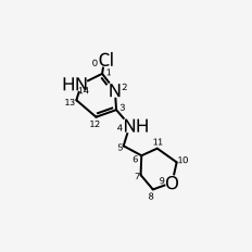 ClC1=NC(NCC2CCOCC2)=CCN1